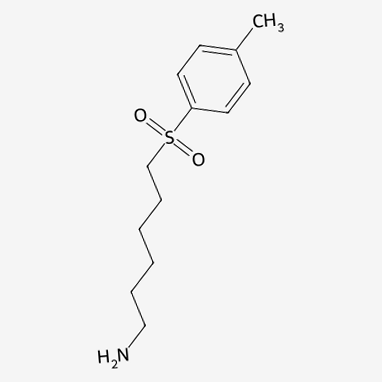 Cc1ccc(S(=O)(=O)CCCCCCN)cc1